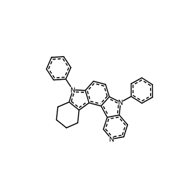 c1ccc(-n2c3c(c4c5c6cnccc6n(-c6ccccc6)c5ccc42)CCCC3)cc1